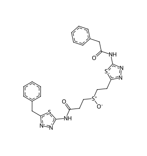 O=C(Cc1ccccc1)Nc1nnc(CC[S+]([O-])CCC(=O)Nc2nnc(Cc3ccccc3)s2)s1